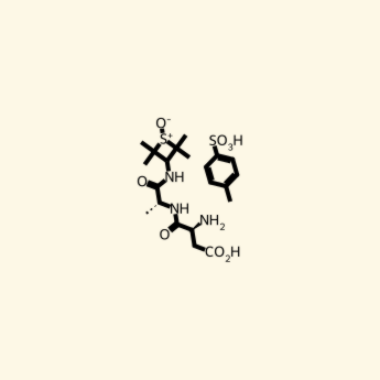 C[C@@H](NC(=O)[C@@H](N)CC(=O)O)C(=O)NC1C(C)(C)[S+]([O-])C1(C)C.Cc1ccc(S(=O)(=O)O)cc1